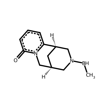 CBN1C[C@@H]2C[C@H](C1)c1cccc(=O)n1C2